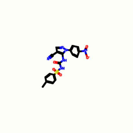 Cc1ccc(S(=O)(=O)NC(=O)Nc2c(C#N)cnn2-c2ccc([N+](=O)[O-])cc2)cc1